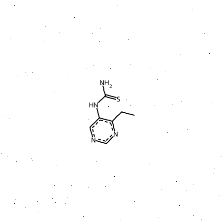 CCc1ncncc1NC(N)=S